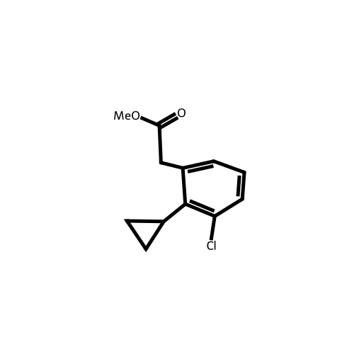 COC(=O)Cc1cccc(Cl)c1C1CC1